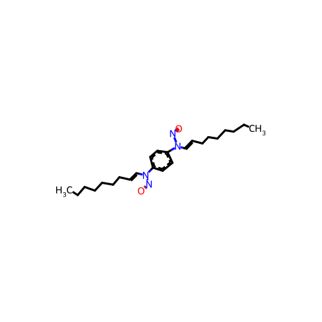 CCCCCCCC=CN(N=O)c1ccc(N(C=CCCCCCCC)N=O)cc1